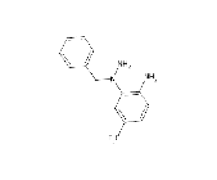 Nc1ccc(C(F)(F)F)cc1N(N)Cc1ccccc1